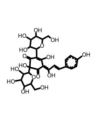 O=C1C(C2OC(CO)C(O)C(O)C2O)=C(O)/C(=C(O)\C=C\c2ccc(O)cc2)C(=O)C1(O)C1OC(CO)C(O)C(O)C1O